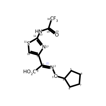 O=C(O)/C(=N\OC1CCCC1)c1csc(NC(=O)C(F)(F)F)n1